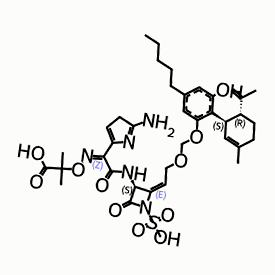 C=C(C)[C@@H]1CCC(C)=C[C@H]1c1c(O)cc(CCCCC)cc1OCOC/C=C1\[C@H](NC(=O)/C(=N\OC(C)(C)C(=O)O)C2=CCC(N)=N2)C(=O)N1S(=O)(=O)O